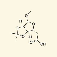 COC1O[C@H](CC(=O)O)[C@H]2OC(C)(C)O[C@@H]12